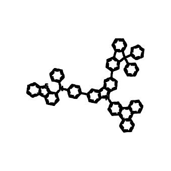 c1ccc(N(c2ccc(-c3ccc4c(c3)c3cc(-c5ccc6c(c5)C(c5ccccc5)(c5ccccc5)c5ccccc5-6)ccc3n4-c3ccc4c5ccccc5c5ccccc5c4c3)cc2)c2cccc3c2sc2ccccc23)cc1